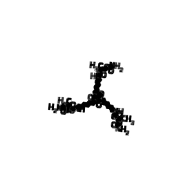 CC(COC(N)=O)OC(=O)NCCCCCCn1c(=O)n(CCCCCCNC(=O)OC(C)COC(N)=O)c(=O)n(CCCCCCNC(O)OC(C)COC(N)=O)c1=O